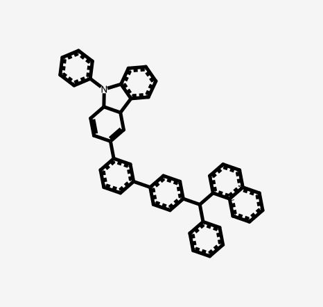 C1=CC2C(C=C1c1cccc(-c3ccc(C(c4ccccc4)c4cccc5ccccc45)cc3)c1)c1ccccc1N2c1ccccc1